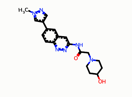 Cn1cc(-c2ccc3nnc(NC(=O)CN4CCC(O)CC4)cc3c2)cn1